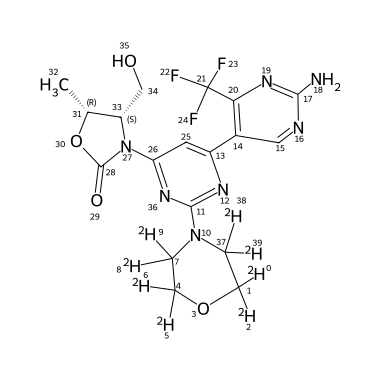 [2H]C1([2H])OC([2H])([2H])C([2H])([2H])N(c2nc(-c3cnc(N)nc3C(F)(F)F)cc(N3C(=O)O[C@H](C)[C@@H]3CO)n2)C1([2H])[2H]